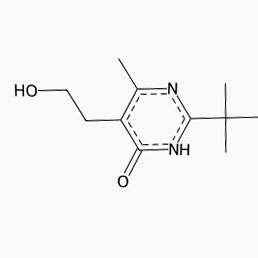 Cc1nc(C(C)(C)C)[nH]c(=O)c1CCO